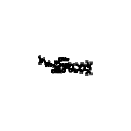 COc1nc(NCCCN(C)C)nc(OC)c1NC(=O)c1ccc(Oc2cc3c(cc2C)[Si](C)(C)C[Si]3(C)C)o1